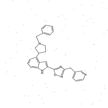 c1ccc(CN2CCC(c3cccc4[nH]c(-c5nc(Cc6cccnc6)no5)cc34)C2)cc1